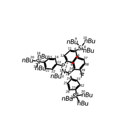 CCCCN(P(c1ccc([Si](CCCC)(CCCC)CCCC)cc1)c1ccc([Si](CCCC)(CCCC)CCCC)cc1)P(c1ccc([Si](CCCC)(CCCC)CCCC)cc1)c1ccccc1F